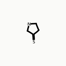 S=C1CC[N]C1